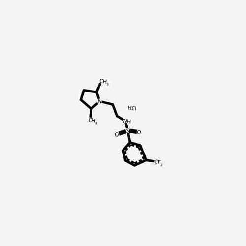 CC1CCC(C)N1CCNS(=O)(=O)c1cccc(C(F)(F)F)c1.Cl